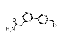 NC(=O)Cc1cccc(-c2ccc(C=O)cc2)c1